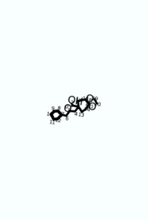 O=C(O)C1(CCCc2ccccc2)CCC2(CC1)OCCO2